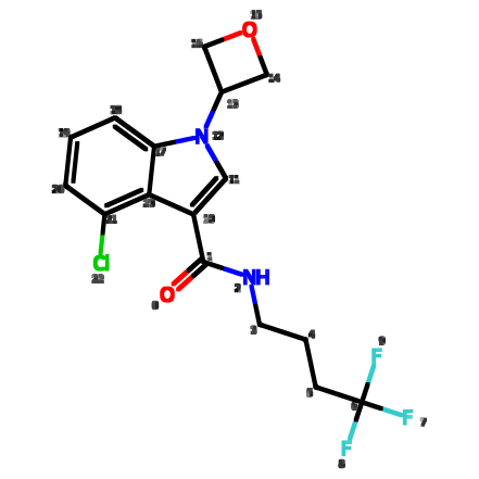 O=C(NCCCC(F)(F)F)c1cn(C2COC2)c2cccc(Cl)c12